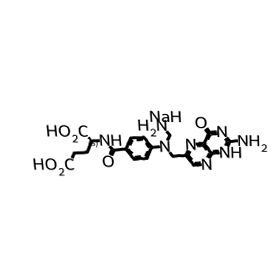 NCN(Cc1cnc2[nH]c(N)nc(=O)c2n1)c1ccc(C(=O)N[C@@H](CCC(=O)O)C(=O)O)cc1.[NaH]